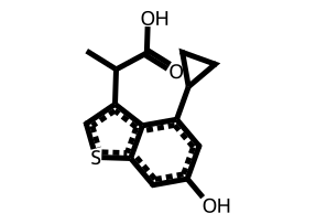 CC(C(=O)O)c1csc2cc(O)cc(C3CC3)c12